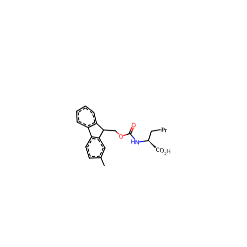 Cc1ccc2c(c1)C(COC(=O)N[C@@H](CC(C)C)C(=O)O)c1ccccc1-2